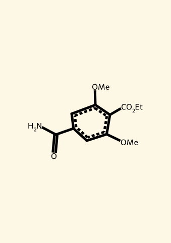 CCOC(=O)c1c(OC)cc(C(N)=O)cc1OC